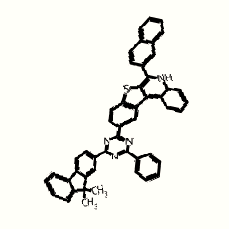 CC1(C)c2ccccc2-c2ccc(-c3nc(-c4ccccc4)nc(-c4ccc5sc6c(c5c4)=C4C=CC=CC4NC=6c4ccc5ccccc5c4)n3)cc21